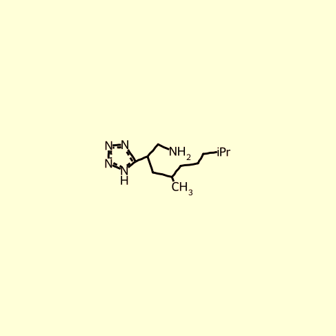 CC(C)CCCC(C)CC(CN)c1nnn[nH]1